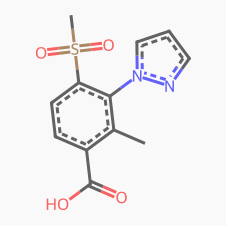 Cc1c(C(=O)O)ccc(S(C)(=O)=O)c1-n1cccn1